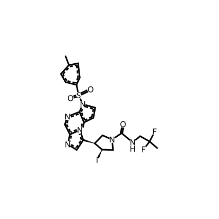 Cc1ccc(S(=O)(=O)n2ccc3c2ncc2ncc([C@H]4CN(C(=O)NCC(C)(F)F)C[C@H]4I)n23)cc1